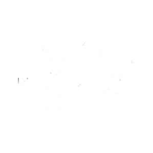 OCCOc1c(-c2cccc3ccccc23)cc(Sc2cc(-c3cccc4ccccc34)c(OCCO)c(-c3cccc4ccccc34)c2)cc1-c1cccc2ccccc12